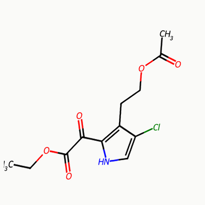 CCOC(=O)C(=O)c1[nH]cc(Cl)c1CCOC(C)=O